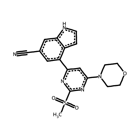 CS(=O)(=O)c1nc(-c2cc(C#N)cc3[nH]ccc23)cc(N2CCOCC2)n1